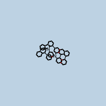 c1ccc(-c2cccc3cccc(-c4ccccc4N(c4cccc(-c5cccc6ccccc56)c4)c4cccc(-c5cccc6c7ccccc7n(-c7ccccc7)c56)c4)c23)cc1